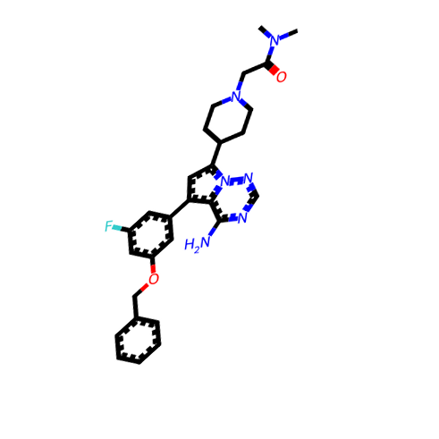 CN(C)C(=O)CN1CCC(c2cc(-c3cc(F)cc(OCc4ccccc4)c3)c3c(N)ncnn23)CC1